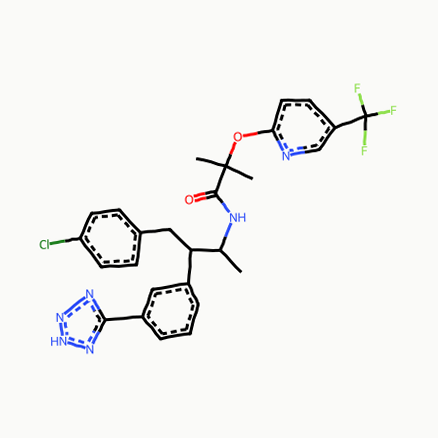 CC(NC(=O)C(C)(C)Oc1ccc(C(F)(F)F)cn1)C(Cc1ccc(Cl)cc1)c1cccc(-c2nn[nH]n2)c1